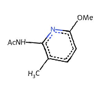 COc1ccc(C)c(NC(C)=O)n1